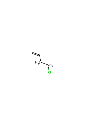 C=C[SiH2][SiH2]Cl